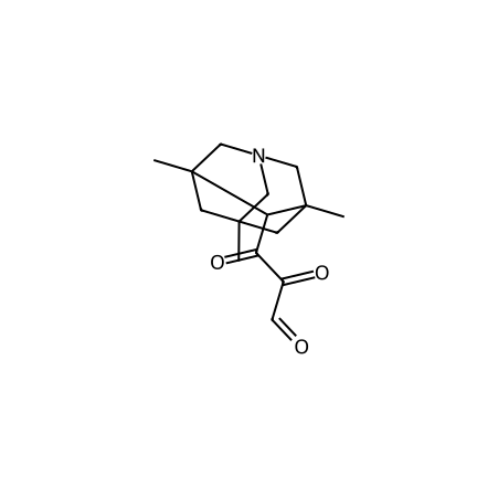 CC12CN3CC(C)(C1)C(C(=O)C(=O)C=O)C(C)(C3)C2